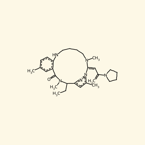 C=C(/C=C1/N(C)CCCCNc2ccc(C)cc2C(=O)N(C)C(CC)c2cc(C)n1n2)N1CCCC1